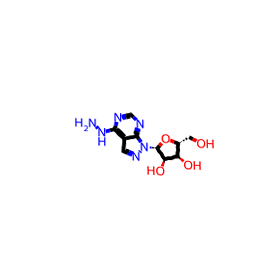 NNc1ncnc2c1cnn2[C@@H]1O[C@H](CO)[C@@H](O)[C@H]1O